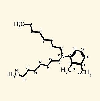 CCCCCCCCN(CCCCCCCC)c1cccc(C)c1C